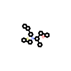 c1ccc(-c2cc(-c3cccc4c3oc3ccccc34)cc(N(c3ccc(-c4ccc5ccccc5c4)cc3)c3cccc4c3sc3ccccc34)c2)cc1